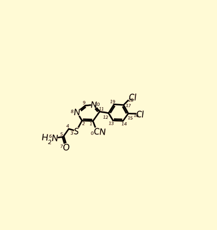 N#Cc1c(SCC(N)=O)ncnc1-c1ccc(Cl)c(Cl)c1